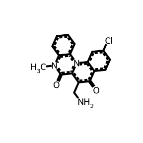 Cn1c(=O)c2c(CN)c(=O)c3ccc(Cl)cc3n2c2ccccc21